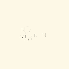 CCN1CCN(C(=O)c2cccnc2[N+](=O)[O-])CC1